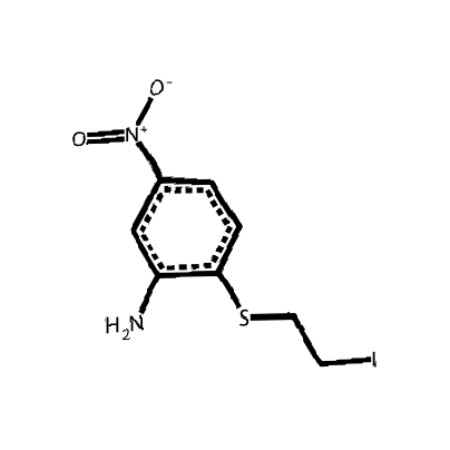 Nc1cc([N+](=O)[O-])ccc1SCCI